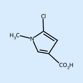 Cn1cc(C(=O)O)cc1Cl